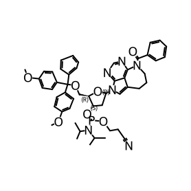 COc1ccc(C(OC[C@H]2O[C@@H](n3cc4c5c(ncnc53)N(C(=O)c3ccccc3)CCC4)C[C@@H]2OP(OCCC#N)N(C(C)C)C(C)C)(c2ccccc2)c2ccc(OC)cc2)cc1